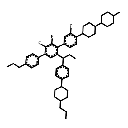 CCCc1ccc(-c2cc(C(CC)c3ccc(C4CCC(CCC)CC4)cc3)c(-c3ccc(C4CCC(C5CCC(C)CC5)CC4)c(F)c3)c(F)c2F)cc1